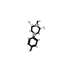 Cc1ccc(N2C[C@@H](C)N(C)[C@@H](C)C2)cc1